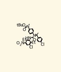 CCc1c(Cl)cc([N+](=O)[O-])c(CC)c1NC(=O)N(c1ccc(N(C)C(=O)OC(C)(C)C)cc1)[C@@H](C)c1ccc(Cl)cc1